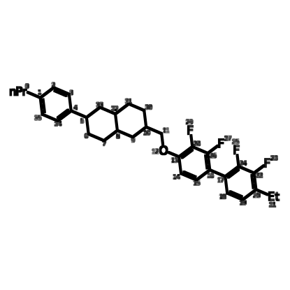 CCCc1ccc(C2CCC3CC(COc4ccc(-c5ccc(CC)c(F)c5F)c(F)c4F)CCC3C2)cc1